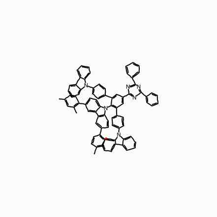 Cc1ccc(-c2ccc3c(c2)c2cc(-c4ccc(C)cc4C)ccc2n3-c2c(-c3ccc(-n4c5ccccc5c5ccccc54)cc3)cc(-c3nc(-c4ccccc4)nc(-c4ccccc4)n3)cc2-c2ccc(-n3c4ccccc4c4ccccc43)cc2)c(C)c1